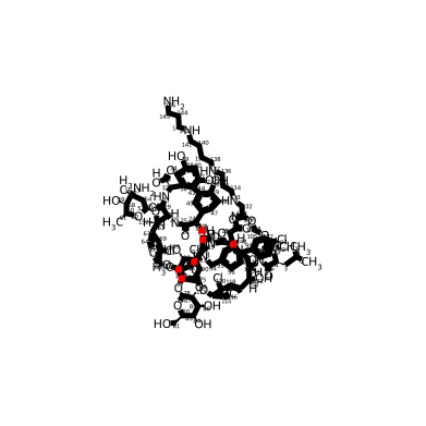 CC(C)C[C@H](C(=O)N[C@H]1C(=O)N[C@@H](CC(N)=O)C(=O)N[C@H]2C(=O)N[C@H]3C(=O)N[C@H](C(=O)N[C@H](C(=O)O)c4cc(O)cc(O)c4-c4cc3ccc4O)[C@H](O[C@H]3C[C@](C)(N)[C@@H](O)[C@H](C)O3)c3ccc(c(Cl)c3)Oc3cc2cc(c3O[C@@H]2O[C@H](CO)[C@@H](O)[C@H](O)[C@H]2O[C@H]2C[C@](C)(NCc3ccc(-c4ccc(Cl)cc4)cc3)[C@@H](O)[C@H](C)O2)Oc2ccc(cc2Cl)[C@H]1O)N(C)C(=O)OCOC(=O)CNCCCNCCCCNCCCN